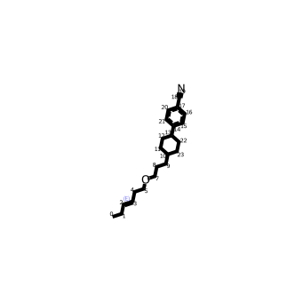 CC/C=C/CCOCCCC1CCC(c2ccc(C#N)cc2)CC1